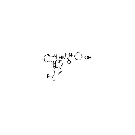 O=C(N[C@H](Cc1ccc(C(F)F)cc1)c1nc2ccccc2[nH]1)N[C@H]1CC[C@H](O)CC1